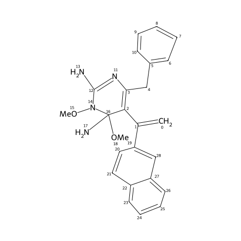 C=C(C1=C(Cc2ccccc2)N=C(N)N(OC)C1(N)OC)c1ccc2ccccc2c1